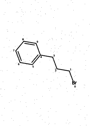 BrC[CH]Cc1ccccc1